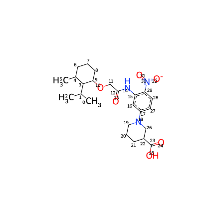 CC(C)C1C(C)CCCC1OCC(=O)Nc1cc(N2CCCC(C(=O)O)C2)ccc1[N+](=O)[O-]